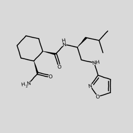 CC(C)C[C@@H](CNc1ccon1)NC(=O)[C@@H]1CCCC[C@@H]1C(N)=O